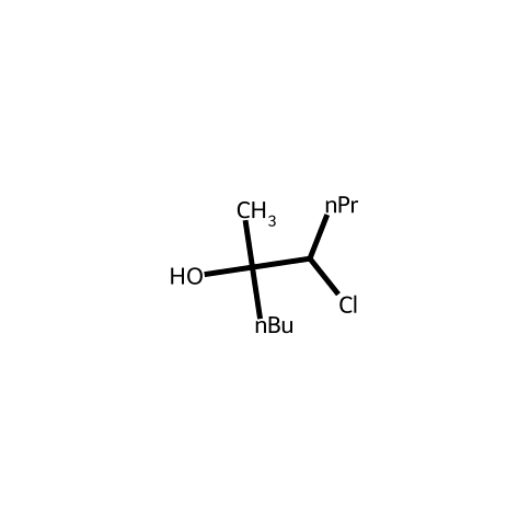 CCCCC(C)(O)C(Cl)CCC